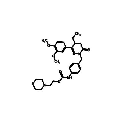 CCC1SC(=O)N(Cc2ccc(NC(=O)OCCN3CCSCC3)cc2)N=C1c1ccc(OC)c(OC)c1